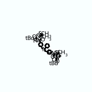 CC(C)(C)OC(=O)N1CSC(C)(C)[C@H]1C(=O)Nc1ccc(CN(Cc2ccc(NC(=O)[C@H]3N(C(=O)OC(C)(C)C)CSC3(C)C)cc2)c2ccccc2)cc1